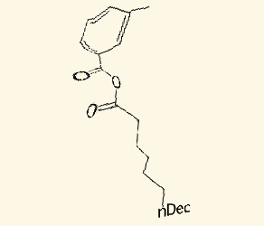 CCCCCCCCCCCCCCCC(=O)OC(=O)c1cccc(C)c1